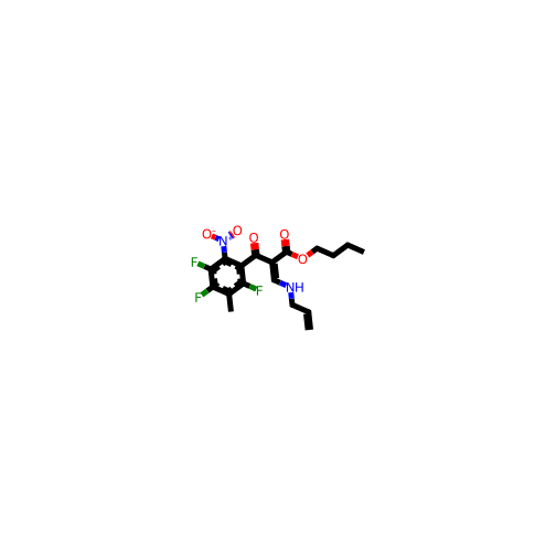 C=CCNC=C(C(=O)OCCCC)C(=O)c1c(F)c(C)c(F)c(F)c1[N+](=O)[O-]